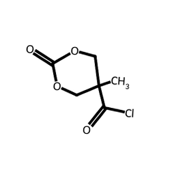 CC1(C(=O)Cl)COC(=O)OC1